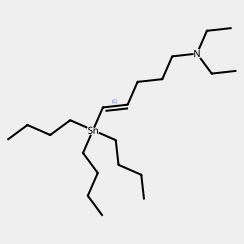 CCC[CH2][Sn](/[CH]=C/CCCN(CC)CC)([CH2]CCC)[CH2]CCC